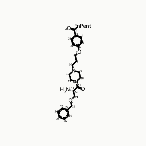 CCCCCC(=O)c1ccc(OCCCN2CCN(C(=O)[C@@H](N)COCc3ccccc3)CC2)cc1